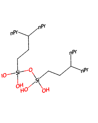 CCCC(CCC)CC[Si](O)(O)O[Si](O)(O)CCC(CCC)CCC